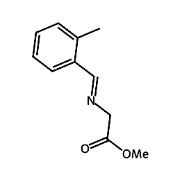 COC(=O)CN=Cc1ccccc1C